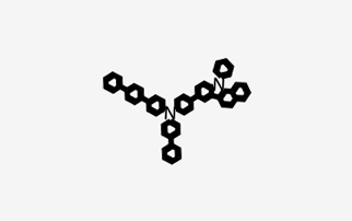 c1ccc(-c2ccc(-c3ccc(N(c4ccc(-c5ccccc5)cc4)c4ccc(-c5ccc6c(c5)c5ccc7ccccc7c5n6-c5ccccc5)cc4)cc3)cc2)cc1